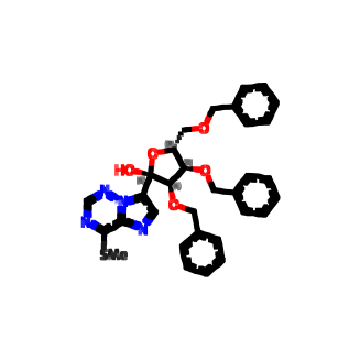 CSc1ncnn2c([C@]3(O)O[C@H](COCc4ccccc4)[C@@H](OCc4ccccc4)[C@H]3OCc3ccccc3)cnc12